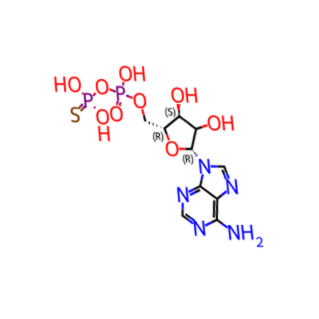 Nc1ncnc2c1ncn2[C@@H]1O[C@H](COP(=O)(O)OP(O)(O)=S)[C@@H](O)C1O